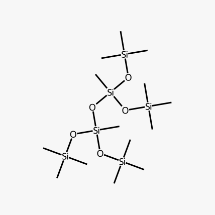 C[Si](C)(C)O[Si](C)(O[Si](C)(C)C)O[Si](C)(O[Si](C)(C)C)O[Si](C)(C)C